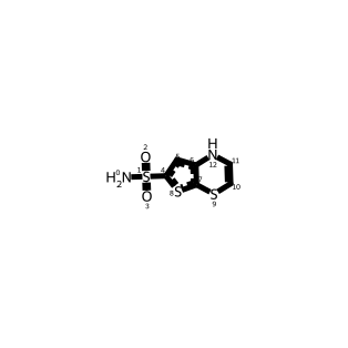 NS(=O)(=O)c1cc2c(s1)SC=CN2